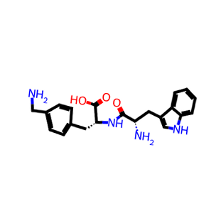 NCc1ccc(C[C@@H](NC(=O)[C@@H](N)Cc2c[nH]c3ccccc23)C(=O)O)cc1